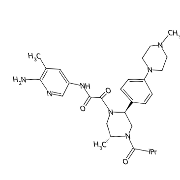 Cc1cc(NC(=O)C(=O)N2C[C@@H](C)N(C(=O)C(C)C)C[C@@H]2c2ccc(N3CCN(C)CC3)cc2)cnc1N